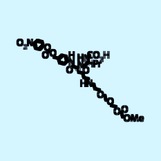 COCC(=O)OCCOCCOCCCNCCCC[C@H](NC(=O)[C@@H](NC(=O)O)C(C)C)C(=O)Nc1ccc(COC(=O)Oc2ccc([N+](=O)[O-])cc2)cc1